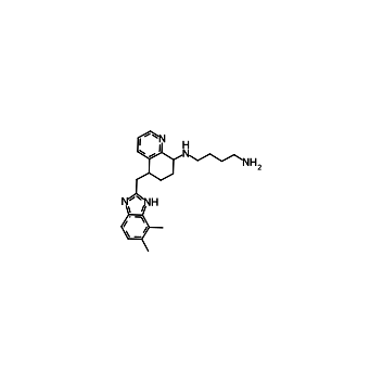 Cc1ccc2nc(CC3CCC(NCCCCN)c4ncccc43)[nH]c2c1C